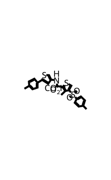 Cc1ccc(-c2scc(NC(=O)c3scc(S(=O)(=O)c4ccc(C)cc4)c3C)c2C(=O)O)cc1